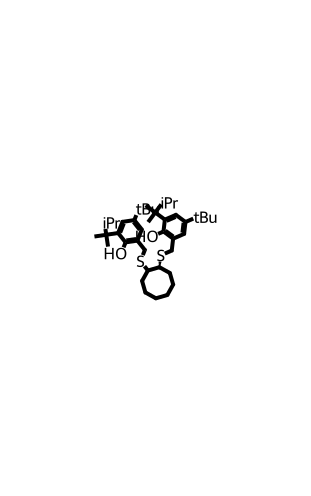 CC(C)C(C)(C)c1cc(C(C)(C)C)cc(CSC2CCCCCC[C@@H]2SCc2cc(C(C)(C)C)cc(C(C)(C)C(C)C)c2O)c1O